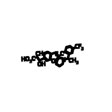 C[C@H](C(=O)O)[C@@H](O)c1ccc2c(c1)OC1(CCCN([C@@H](C)c3cc(C(F)(F)F)ccc3C(F)(F)F)C1)CC2